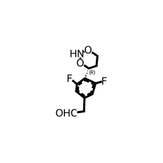 O=CCc1cc(F)c([C@H]2CCONO2)c(F)c1